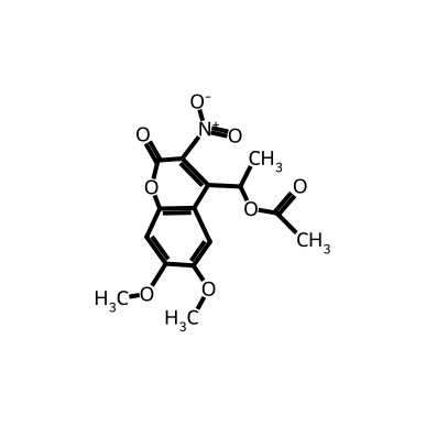 COc1cc2oc(=O)c([N+](=O)[O-])c(C(C)OC(C)=O)c2cc1OC